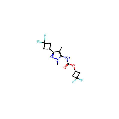 Cc1c(C2CC(F)(F)C2)nn(C)c1NC(=O)OC1CC(F)(F)C1